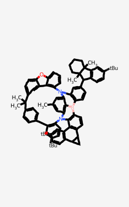 Cc1cc2c3c(c1)N1c4cc(C5c6ccc(C(C)(C)C)cc6C6(C)CCCCC56C)ccc4B3c3ccc4c(c3N2c2ccc(C(C)(C)C)cc2-c2ccc(cc2)C(C)(C)c2ccc3oc5cccc1c5c3c2)-c1cc(C(C)(C)C)ccc1C1CC41